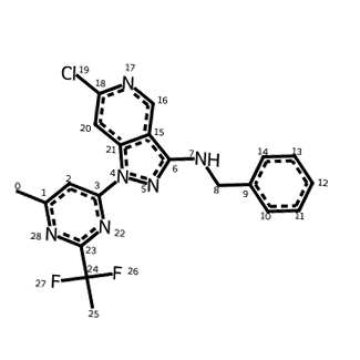 Cc1cc(-n2nc(NCc3ccccc3)c3cnc(Cl)cc32)nc(C(C)(F)F)n1